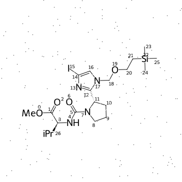 COC(=O)[C@@H](NC(=O)N1CCC[C@H]1c1nc(I)cn1COCC[Si](C)(C)C)C(C)C